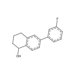 OC1CCCc2cc(-c3cccc(F)c3)ccc21